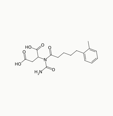 Cc1ccccc1CCCCC(=O)N(C(N)=O)C(CC(=O)O)C(=O)O